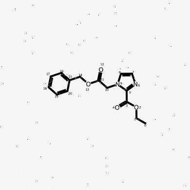 CCOC(=O)c1nccn1CC(=O)OCc1ccccc1